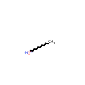 CCCCCCCCC/C=C/O[N]